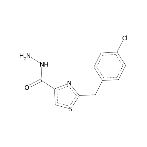 NNC(=O)c1csc(Cc2ccc(Cl)cc2)n1